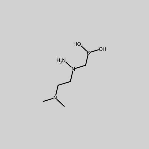 CN(C)CCN(N)CB(O)O